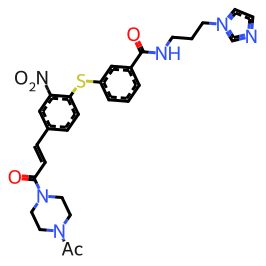 CC(=O)N1CCN(C(=O)C=Cc2ccc(Sc3cccc(C(=O)NCCCn4ccnc4)c3)c([N+](=O)[O-])c2)CC1